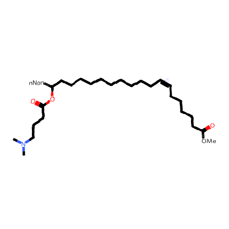 CCCCCCCCCC(CCCCCCCCCC/C=C\CCCCCC(=O)OC)OC(=O)CCCN(C)C